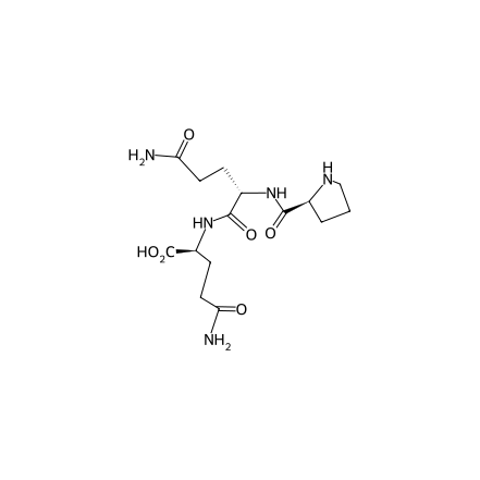 NC(=O)CC[C@H](NC(=O)[C@H](CCC(N)=O)NC(=O)[C@@H]1CCCN1)C(=O)O